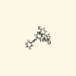 C[C@@]1(c2ccc(F)cc2)OC(=O)N[C@@H]1c1cncc(C#Cc2ccccc2)c1